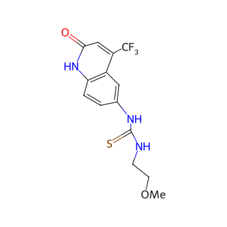 COCCNC(=S)Nc1ccc2[nH]c(=O)cc(C(F)(F)F)c2c1